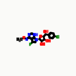 CO/N=c1\nc[nH]c2c1c(F)cn2[C@@H]1O[C@H]([C@H](O)c2ccc(Cl)cc2)[C@@H](O)[C@H]1O